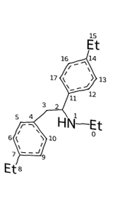 CCNC(Cc1ccc(CC)cc1)c1ccc(CC)cc1